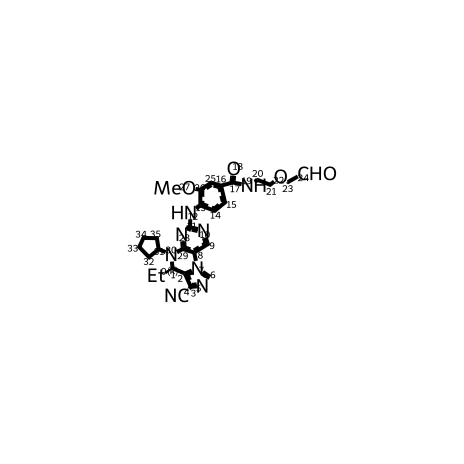 CC[C@@H]1c2c(C#N)ncn2-c2cnc(Nc3ccc(C(=O)NCCOCC=O)cc3OC)nc2N1C1CCCC1